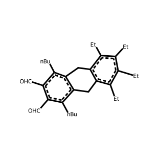 CCCCc1c(C=O)c(C=O)c(CCCC)c2c1Cc1c(CC)c(CC)c(CC)c(CC)c1C2